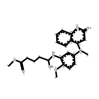 COC(=O)CCCC(O)Nc1cc(N(C)c2cc(=O)oc3ccccc23)ccc1OC